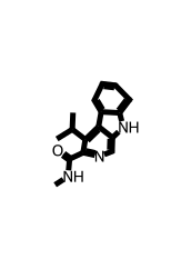 CNC(=O)c1ncc2[nH]c3ccccc3c2c1C(C)C